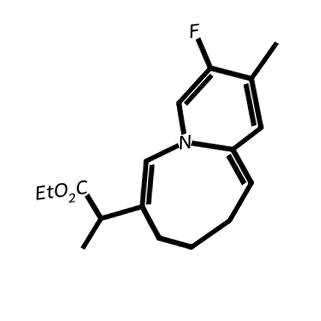 CCOC(=O)C(C)/C1=C/N2C=C(F)C(C)=C/C2=C/CCC1